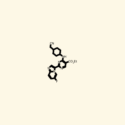 CCOC(=O)c1cnc(-c2cnc3ccc(F)cn23)nc1NC1CCC(CC#N)CC1